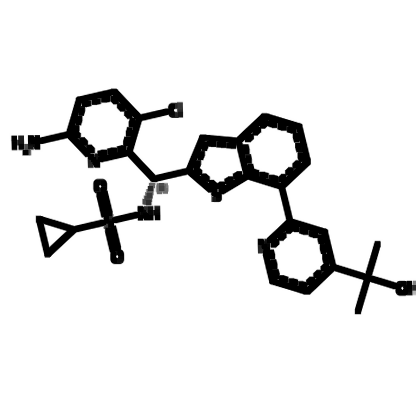 CC(C)(O)c1ccnc(-c2cccc3cc([C@H](NS(=O)(=O)C4CC4)c4nc(N)ccc4Cl)sc23)c1